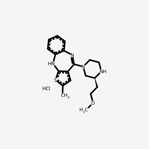 COCC[C@H]1CN(C2=Nc3ccccc3Nc3sc(C)cc32)CCN1.Cl